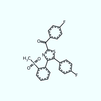 CS(=O)(=O)c1ccccc1-c1nc(C(=O)c2ccc(F)cc2)sc1-c1ccc(F)cc1